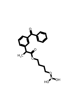 CC(C(=O)OCCCCON(O)O)c1cccc(C(=O)c2ccccc2)c1